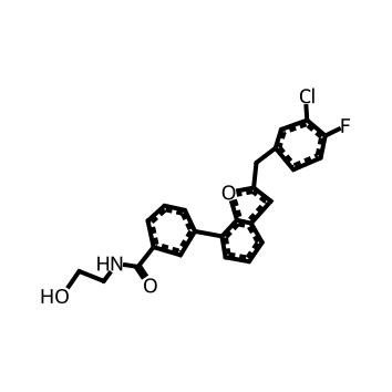 O=C(NCCO)c1cccc(-c2cccc3cc(Cc4ccc(F)c(Cl)c4)oc23)c1